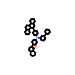 C1=Cc2ccc3c(oc4cc(N(c5ccc(-c6cc7ccccc7c7ccc8ccccc8c67)cc5)c5cccc(-c6ccccc6)c5)ccc43)c2CC1